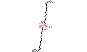 CCCCCCCCC=CCCCCCCCC[N+](CCCCCCCCC=CCCCCCCCC)(S(C)(=O)=O)S(C)(=O)=O.[Cl-]